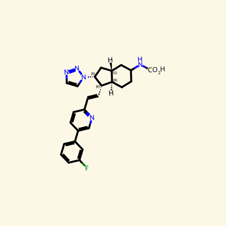 O=C(O)NC1CC[C@@H]2[C@@H](C1)C[C@@H](n1ccnn1)[C@H]2C=Cc1ccc(-c2cccc(F)c2)cn1